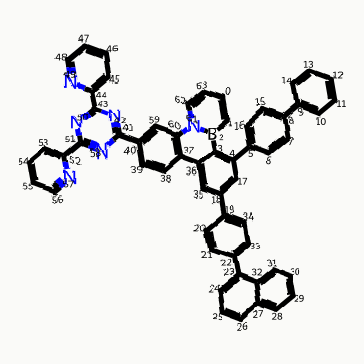 C1=CB2c3c(-c4ccc(-c5ccccc5)cc4)cc(-c4ccc(-c5cccc6ccccc56)cc4)cc3-c3ccc(-c4nc(-c5ccccn5)nc(-c5ccccn5)n4)cc3N2C=C1